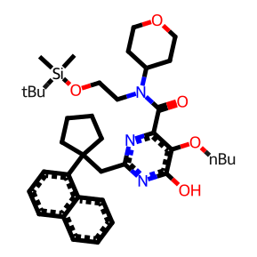 CCCCOc1c(O)nc(CC2(c3cccc4ccccc34)CCCC2)nc1C(=O)N(CCO[Si](C)(C)C(C)(C)C)C1CCOCC1